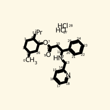 CC1CCC(C(C)C)C(OC(=O)CC(NCc2ccccn2)c2ccccc2)C1.Cl.Cl